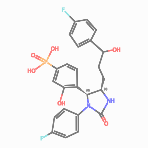 O=C1N[C@H](CCC(O)c2ccc(F)cc2)[C@@H](c2ccc(P(=O)(O)O)cc2O)N1c1ccc(F)cc1